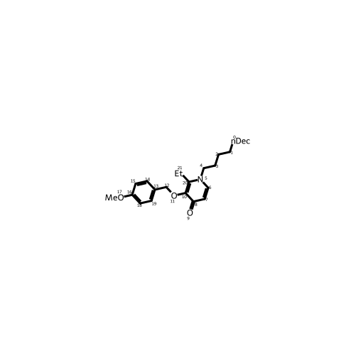 CCCCCCCCCCCCCCn1ccc(=O)c(OCc2ccc(OC)cc2)c1CC